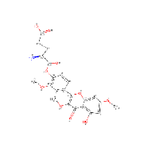 COc1cc(O)c2c(=O)c(OC)c(-c3ccc(OC(=O)[C@@H](N)CCC(=O)O)c(OC)c3)oc2c1